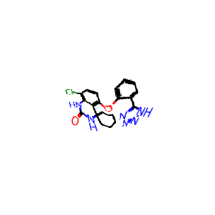 O=C1Nc2c(Cl)ccc(Oc3ccccc3-c3nnn[nH]3)c2C2(CCCCC2)N1